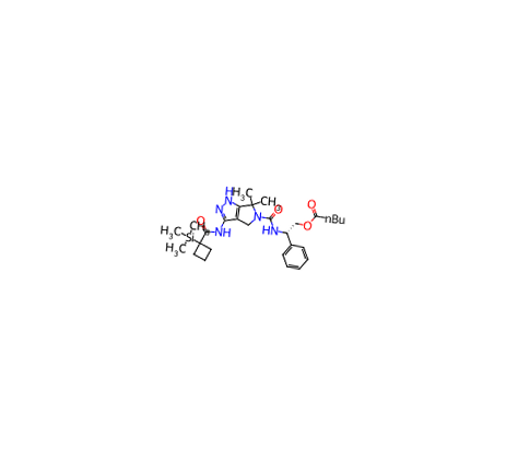 CCCCC(=O)OC[C@@H](NC(=O)N1Cc2c(NC(=O)C3([Si](C)(C)C)CCC3)n[nH]c2C1(C)C)c1ccccc1